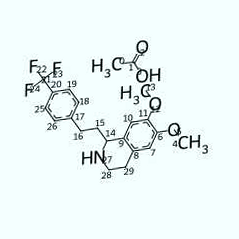 CC(=O)O.COc1cc2c(cc1OC)C(CCc1ccc(C(F)(F)F)cc1)NCC2